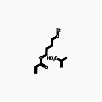 C=C(C)C(=O)O.C=CC(=O)OCCCCOCC